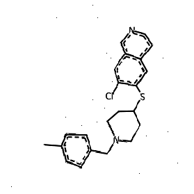 Cc1ccc(CN2CCC(Sc3cc4ccncc4cc3Cl)CC2)cc1